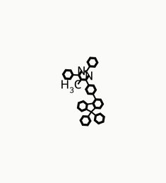 Cc1c(-c2ccccc2)nc(-c2ccccc2)nc1-c1ccc(-c2cccc3c2-c2ccccc2C3(c2ccccc2)c2ccccc2)cc1